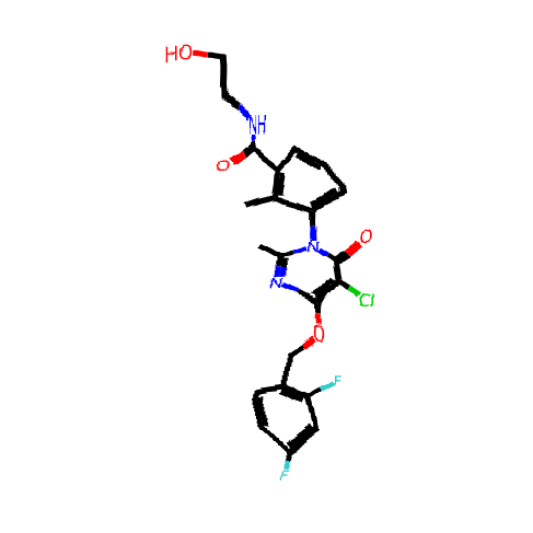 Cc1c(C(=O)NCCO)cccc1-n1c(C)nc(OCc2ccc(F)cc2F)c(Cl)c1=O